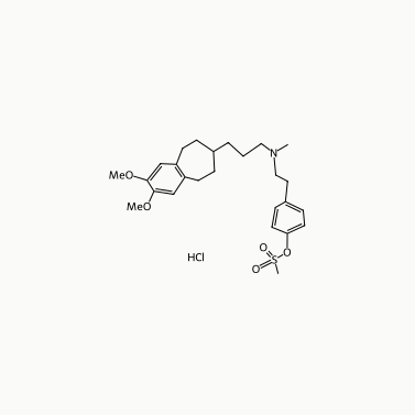 COc1cc2c(cc1OC)CCC(CCCN(C)CCc1ccc(OS(C)(=O)=O)cc1)CC2.Cl